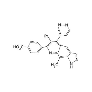 Cc1c2nc(-c3ccc(C(=O)O)cc3)c(C(C)C)c(-c3ccnnc3)c2cc2cn[nH]c12